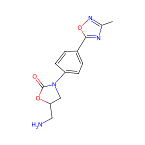 Cc1noc(-c2ccc(N3CC(CN)OC3=O)cc2)n1